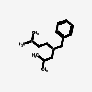 CC(C)CN(CCN(C)C)Cc1ccccc1